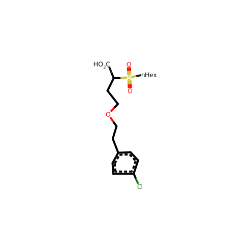 CCCCCCS(=O)(=O)C(CCOCCc1ccc(Cl)cc1)C(=O)O